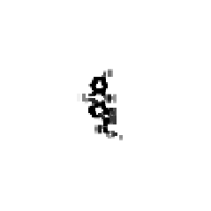 CNc1nnc2c(Nc3cc(Cl)ccc3C)nccn12